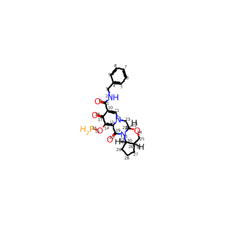 O=C(NCc1ccccc1)c1cn2c(c(OP)c1=O)C(=O)N1[C@@H](C2)OC[C@@H]2CCC[C@@H]21